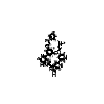 CN(C)CCOc1cncc(-c2cc3c(-c4nc5c(-c6cc(F)cc(OCCN7CCCC7)c6)nccc5[nH]4)n[nH]c3cn2)c1